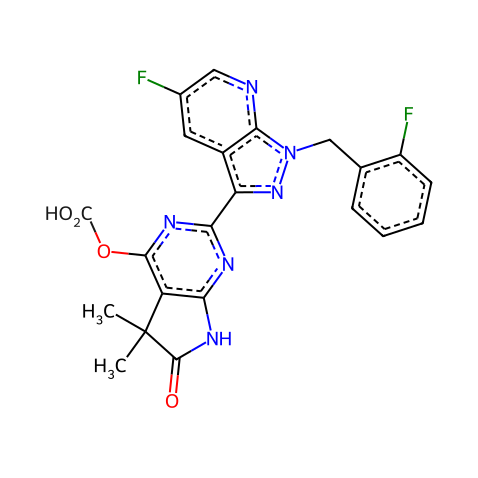 CC1(C)C(=O)Nc2nc(-c3nn(Cc4ccccc4F)c4ncc(F)cc34)nc(OC(=O)O)c21